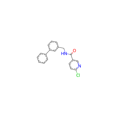 O=C(NCc1cccc(-c2ccccc2)c1)c1ccc(Cl)nc1